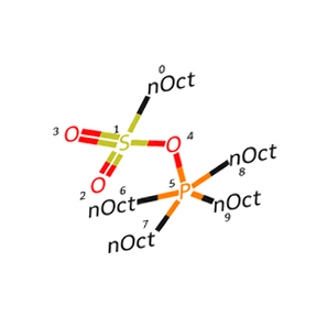 CCCCCCCCS(=O)(=O)OP(CCCCCCCC)(CCCCCCCC)(CCCCCCCC)CCCCCCCC